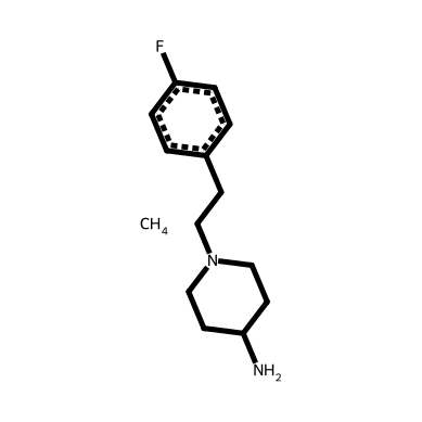 C.NC1CCN(CCc2ccc(F)cc2)CC1